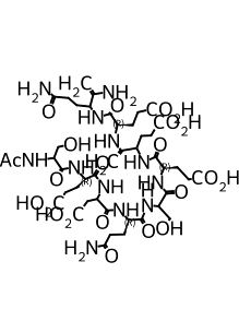 C=C(N)C(CCC(N)=O)NC(=O)[C@@H](CCC(=O)O)NC(=C)C(CCC(=O)O)NC(=O)[C@@H](CCC(=O)O)NC(=O)C(CO)NC(=O)[C@@H](CCC(N)=O)NC(=O)C(CC(=O)O)NC(=O)[C@@H](CCC(=O)O)NC(=O)C(CO)NC(C)=O